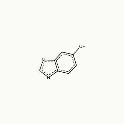 Oc1ccc2nsnc2c1